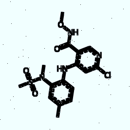 CONC(=O)c1cnc(Cl)cc1Nc1ccc(C)cc1N(C)S(C)(=O)=O